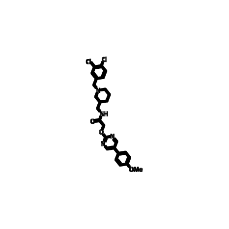 COc1ccc(-c2cnc(OCC(=O)NCC3CCCN(Cc4ccc(Cl)c(Cl)c4)C3)nc2)cc1